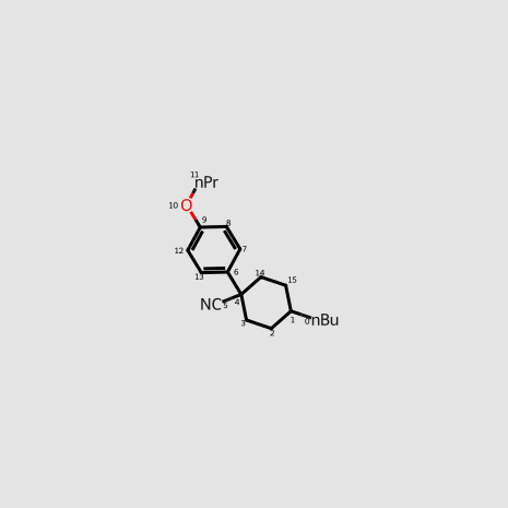 CCCCC1CCC(C#N)(c2ccc(OCCC)cc2)CC1